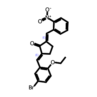 CCOc1ccc(Br)cc1/C=C1\CC/C(=C\c2ccccc2[N+](=O)[O-])C1=O